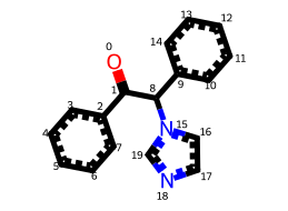 O=C(c1ccccc1)C(c1ccccc1)n1ccnc1